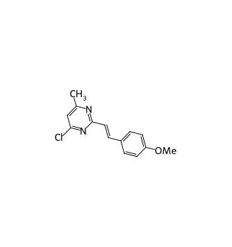 COc1ccc(/C=C/c2nc(C)cc(Cl)n2)cc1